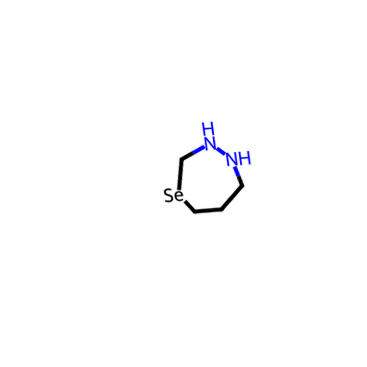 C1CNNC[Se]C1